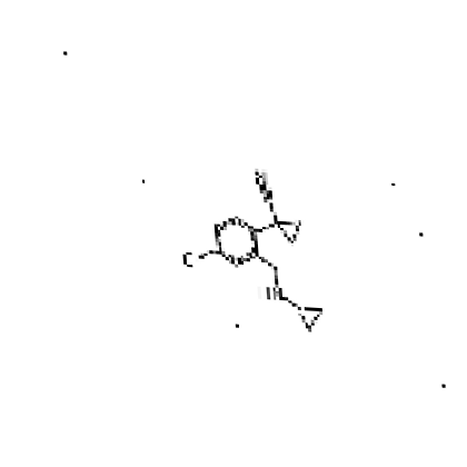 N#CC1(c2ccc(Cl)cc2CNC2CC2)CC1